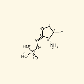 C[C@H]1CO/C(=C/OP(=O)(O)O)[C@H]1N